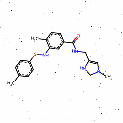 Cc1ccc(SNc2cc(C(=O)NCC3=CN(C)CN3)ccc2C)cc1